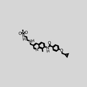 Cc1c(NC(=O)c2ccc(OCC3CC3)cc2)ccc2cc(CNCCNS(C)(=O)=O)cnc12